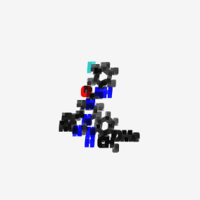 COc1cccc(N/C(=N/C#N)N2CCN(C(=O)Nc3cccc(F)c3)CC2C(C)C)c1C